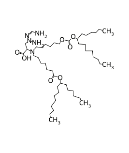 CCCCCCCCC(CCCCCC)OC(=O)CCCCCCN(CCCCCCOC(=O)OC(CCCCCC)CCCCCCCC)C(CN(N)/N=C\N)C(=O)O